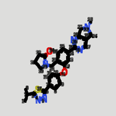 CC(C)c1nnc(-c2ccc(Oc3cc(-c4ncc5c(n4)CN(C)C5)ccc3CN3CCCC3=O)cc2)s1